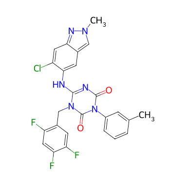 Cc1cccc(-n2c(=O)nc(Nc3cc4cn(C)nc4cc3Cl)n(Cc3cc(F)c(F)cc3F)c2=O)c1